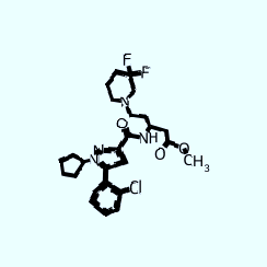 COC(=O)CC(CCN1CCCC(F)(F)C1)NC(=O)c1cc(-c2ccccc2Cl)n(C2CCCC2)n1